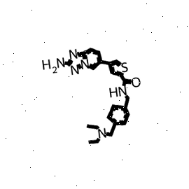 CCN(CC)Cc1ccc(CNC(=O)c2cc(-c3ccc4nc(N)nn4c3)cs2)cc1